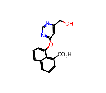 O=C(O)c1cccc2cccc(Oc3cc(CO)ncn3)c12